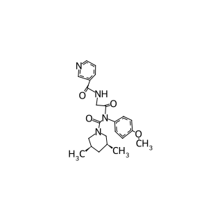 COc1ccc(N(C(=O)CNC(=O)c2cccnc2)C(=O)N2C[C@H](C)C[C@H](C)C2)cc1